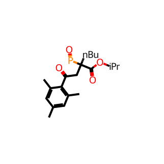 CCCCC(CC(=O)c1c(C)cc(C)cc1C)(P=O)C(=O)OC(C)C